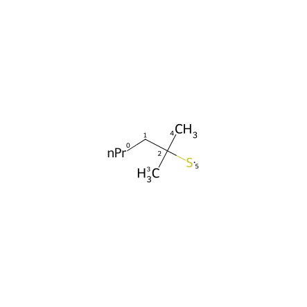 CCCCC(C)(C)[S]